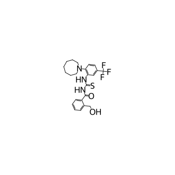 O=C(NC(=S)Nc1cc(C(F)(F)F)ccc1N1CCCCCCC1)c1ccccc1CO